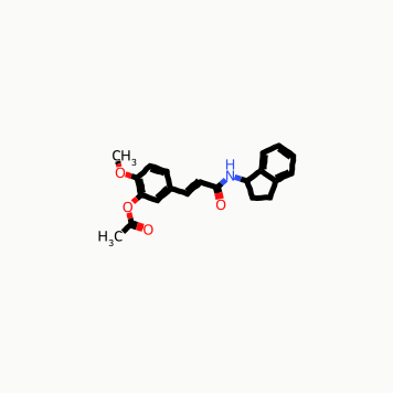 COc1ccc(/C=C/C(=O)NC2CCc3ccccc32)cc1OC(C)=O